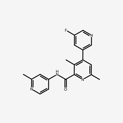 Cc1cc(NC(=O)c2nc(C)cc(-c3cncc(F)c3)c2C)ccn1